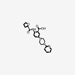 O=C(Nc1ccc(N2CCN(c3ccccn3)CC2)cc1C(=O)O)c1ccco1